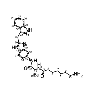 CC[C@@H](C)[C@H](NC(=O)CCCCCCN)C(=O)Nc1ccc2[nH]c(Cc3c[nH]c4ccccc34)nc2c1